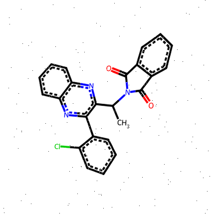 CC(c1nc2ccccc2nc1-c1ccccc1Cl)N1C(=O)c2ccccc2C1=O